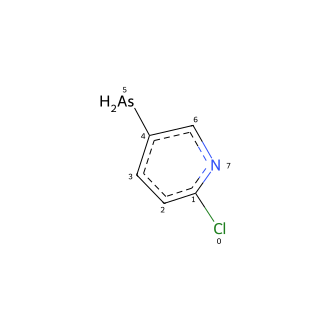 Clc1ccc([AsH2])cn1